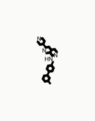 Cc1cccc(-c2ccc(CNc3nccc4cc(-c5ccncc5)ncc34)cc2)c1